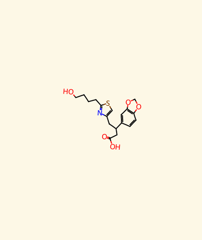 O=C(O)CC(Cc1csc(CCCCO)n1)c1ccc2c(c1)OCO2